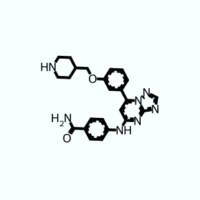 NC(=O)c1ccc(Nc2cc(-c3cccc(OCC4CCNCC4)c3)n3ncnc3n2)cc1